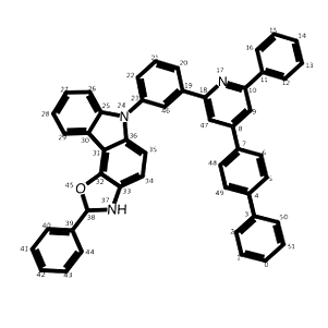 c1ccc(-c2ccc(-c3cc(-c4ccccc4)nc(-c4cccc(-n5c6ccccc6c6c7c(ccc65)NC(c5ccccc5)O7)c4)c3)cc2)cc1